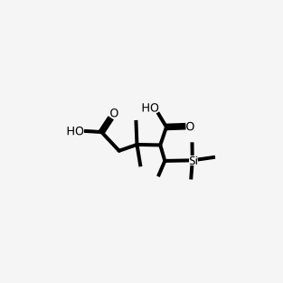 CC(C(C(=O)O)C(C)(C)CC(=O)O)[Si](C)(C)C